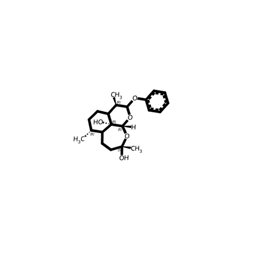 C[C@H]1C(Oc2ccccc2)O[C@@H]2O[C@](C)(O)CCC3[C@H](C)CCC1[C@]32O